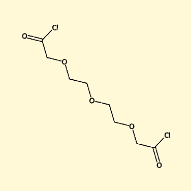 O=C(Cl)COCCOCCOCC(=O)Cl